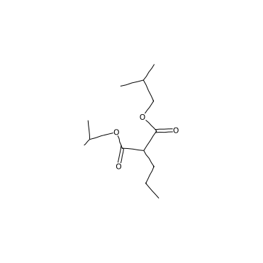 CCCC(C(=O)OCC(C)C)C(=O)OC(C)C